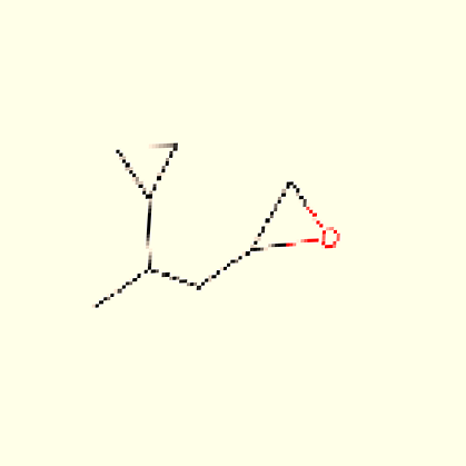 CC(CC1CO1)C1CC1